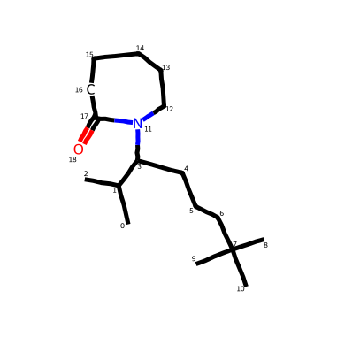 CC(C)C(CCCC(C)(C)C)N1CCCCCC1=O